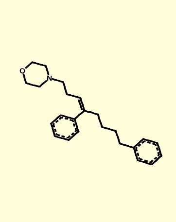 C(CCN1CCOCC1)=C(CCCCc1ccccc1)c1ccccc1